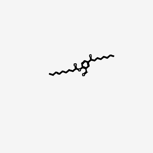 CCCCCCCCC(=O)Oc1ccc(C(=O)CCCCCCC)cc1[C]=O